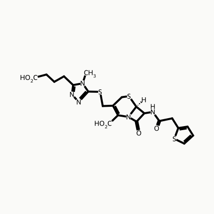 Cn1c(CCCC(=O)O)nnc1SCC1=C(C(=O)O)N2C(=O)C(NC(=O)Cc3cccs3)[C@@H]2SC1